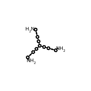 Nc1cccc(C#Cc2ccc(-c3ccc(-c4cc(-c5ccc(-c6ccc(C#Cc7cccc(N)c7)cc6)cc5)cc(-c5ccc(-c6ccc(C#Cc7cccc(N)c7)cc6)cc5)c4)cc3)cc2)c1